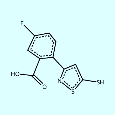 O=C(O)c1cc(F)ccc1-c1cc(S)sn1